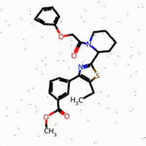 CCc1sc(C2CCCCN2C(=O)COc2ccccc2)nc1-c1cccc(C(=O)OC)c1